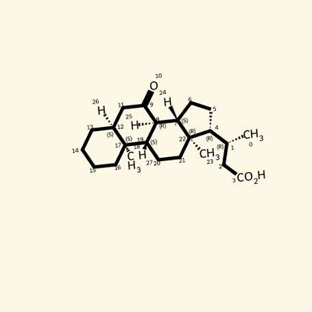 C[C@H](CC(=O)O)[C@H]1CC[C@H]2[C@@H]3C(=O)C[C@@H]4CCCC[C@]4(C)[C@H]3CC[C@]12C